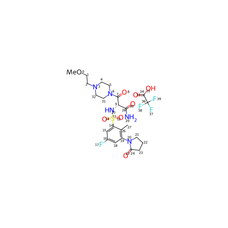 COCCN1CCN(C(=O)[C@@H](NS(=O)(=O)c2cc(F)cc(N3CCCC3=O)c2C)C(N)=O)CC1.O=C(O)C(F)(F)F